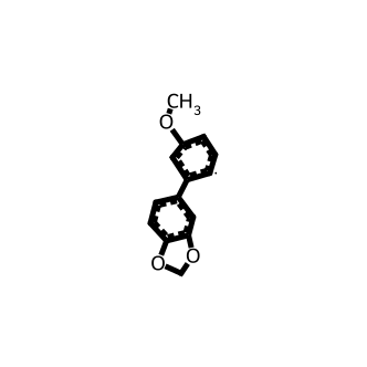 COc1cc[c]c(-c2ccc3c(c2)OCO3)c1